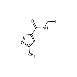 Cc1cc(C(=O)NCI)co1